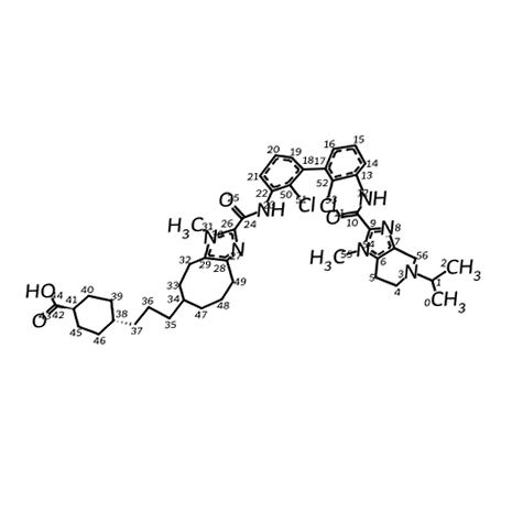 CC(C)N1CCc2c(nc(C(=O)Nc3cccc(-c4cccc(NC(=O)c5nc6c(n5C)CCC(CCC[C@H]5CC[C@H](C(=O)O)CC5)CCC6)c4Cl)c3Cl)n2C)C1